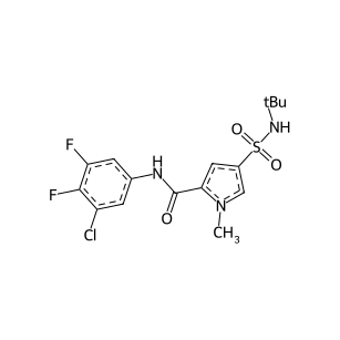 Cn1cc(S(=O)(=O)NC(C)(C)C)cc1C(=O)Nc1cc(F)c(F)c(Cl)c1